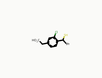 CC(C)C(S)c1ccc(CC(=O)O)cc1Cl